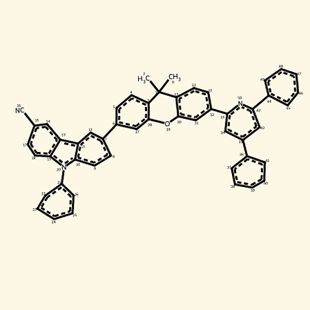 CC1(C)c2ccc(-c3ccc4c(c3)c3cc(C#N)ccc3n4-c3ccccc3)cc2Oc2cc(-c3cc(-c4ccccc4)cc(-c4ccccc4)n3)ccc21